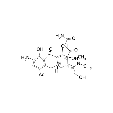 CC(=O)c1cc(N)c(O)c2c1C[C@H]1C[C@@H]([C@@H](CO)N(C)C)[C@@](O)(C(=O)CC(N)=O)C(O)=C1C2=O